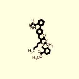 CCCCc1c(Cc2ccc(-c3ccccc3-c3nnn[nH]3)cc2)c(=O)nc(C)n1CC1=C(C(=O)OC)C=CCC1=S